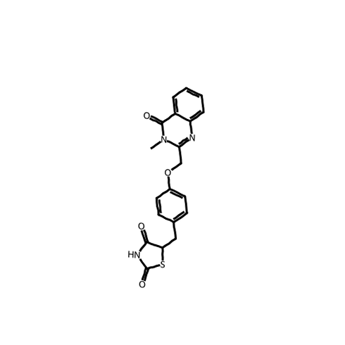 Cn1c(COc2ccc(CC3SC(=O)NC3=O)cc2)nc2ccccc2c1=O